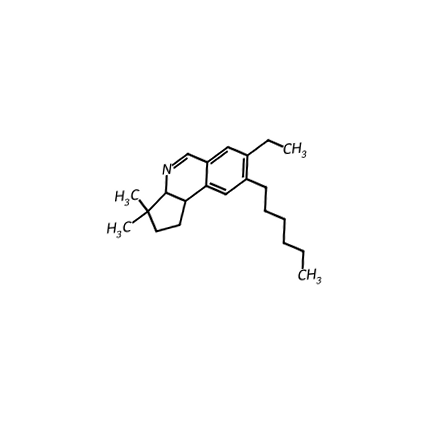 CCCCCCc1cc2c(cc1CC)C=NC1C2CCC1(C)C